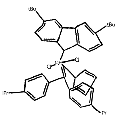 CC(C)c1ccc([C](c2ccc(C(C)C)cc2)=[Hf]([Cl])([Cl])([CH]2C=CC=C2)[CH]2c3ccc(C(C)(C)C)cc3-c3cc(C(C)(C)C)ccc32)cc1